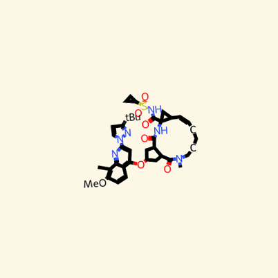 COc1ccc2c(OC3CC4C(=O)NC5(C(=O)NS(=O)(=O)C6CC6)CC5C=CCCCCN(C)C(=O)C4C3)cc(-n3ccc(C(C)(C)C)n3)nc2c1C